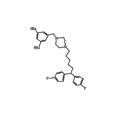 CC(C)(C)c1cc(CN2CCN(CCCCCC(c3ccc(F)cc3)c3ccc(F)cc3)CC2)cc(C(C)(C)C)c1